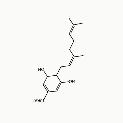 CCCCCC1=CC(O)C(C/C=C(/C)CCC=C(C)C)C(O)=C1